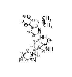 CN(C)Cc1nc(Nc2ccc(-c3cnc4cc(F)ccn34)c3c2C(=O)NC3)ccc1[C@@H]1COCCO1